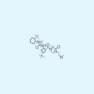 CN(C)CCN1CCN(C(=O)c2cc(C(C)(C)C)sc2NC(=O)Nc2ccccc2C(C)(C)C)C(C)(C)C1=O